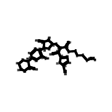 NCCCCCC(=O)N(C[C@H]1CN(c2ccc(N3CCOCC3=O)cc2F)C(=O)O1)C(=O)c1ccc(Cl)s1